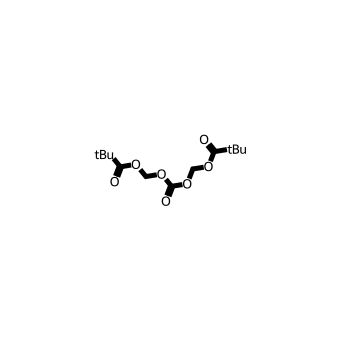 CC(C)(C)C(=O)OCOC(=O)OCOC(=O)C(C)(C)C